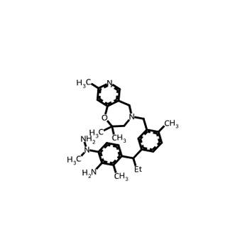 CCC(c1ccc(C)c(CN2Cc3cnc(C)cc3OC(C)(C)C2)c1)c1ccc(N(C)N)c(N)c1C